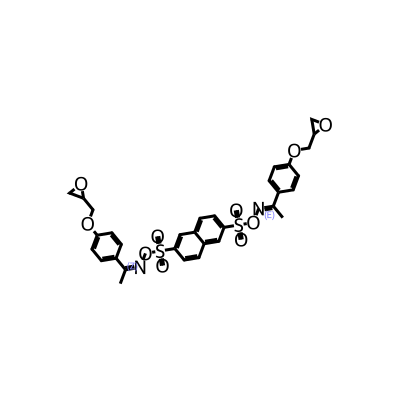 C/C(=N/OS(=O)(=O)c1ccc2cc(S(=O)(=O)O/N=C(\C)c3ccc(OCC4CO4)cc3)ccc2c1)c1ccc(OCC2CO2)cc1